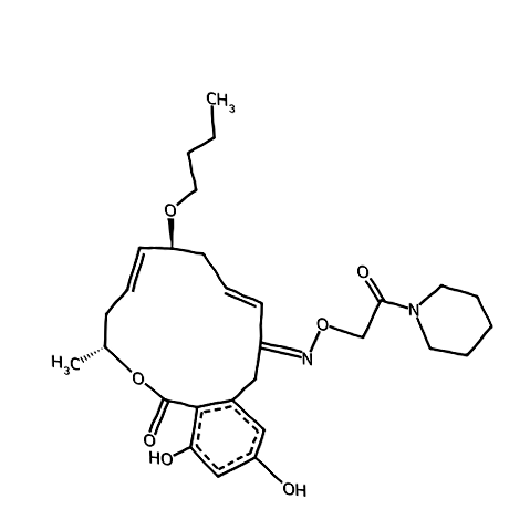 CCCCO[C@@H]1/C=C/C[C@@H](C)OC(=O)c2c(O)cc(O)cc2CC(=N/OCC(=O)N2CCCCC2)/C=C/C1